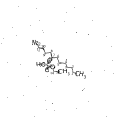 CCCCCCCCCCC[CH2][Na].CCOS(=O)(=O)O